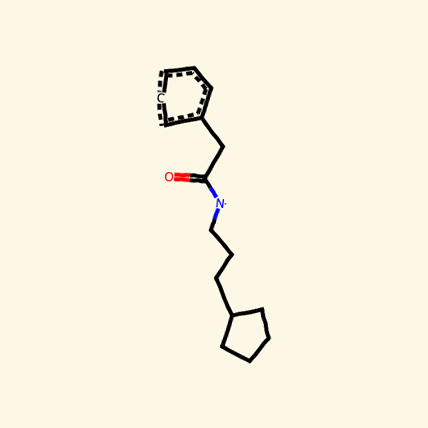 O=C(Cc1ccccc1)[N]CCCC1CCCC1